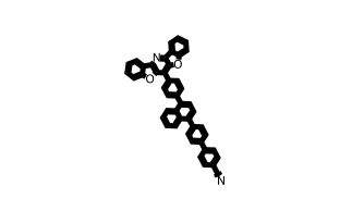 N#Cc1ccc(-c2ccc(-c3ccc(-c4ccc(-c5c6oc7ccccc7c6nc6c5oc5ccccc56)cc4)c4ccccc34)cc2)cc1